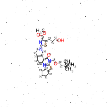 COC(=O)c1nc(N2CCc3cccc(C(=O)N(COCC[Si](C)(C)C)c4nc5ccccc5s4)c3C2)sc1CCCO